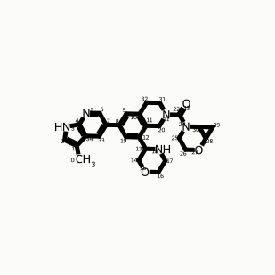 Cc1c[nH]c2ncc(-c3cc4c(c(C5COCCN5)c3)CN(C(=O)N3CCOC5CC53)CC4)cc12